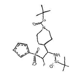 CC(C)(C)OC(=O)N1CCC(C(N[S@@+]([O-])C(C)(C)C)C(F)S(=O)(=O)c2ccccc2)CC1